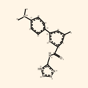 Cc1cc(C(=O)Nc2nnn[nH]2)nc(-c2ccc(N(C)C)cc2)c1